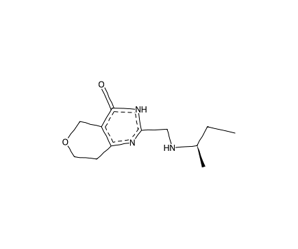 CC[C@@H](C)NCc1nc2c(c(=O)[nH]1)COCC2